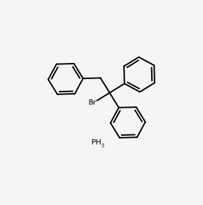 BrC(Cc1ccccc1)(c1ccccc1)c1ccccc1.P